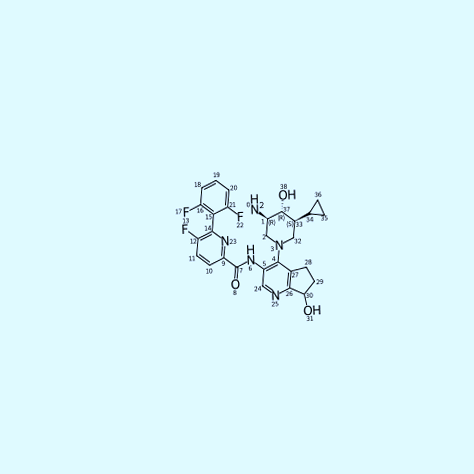 N[C@@H]1CN(c2c(NC(=O)c3ccc(F)c(-c4c(F)cccc4F)n3)cnc3c2CCC3O)C[C@H](C2CC2)[C@H]1O